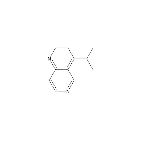 CC(C)c1ccnc2ccncc12